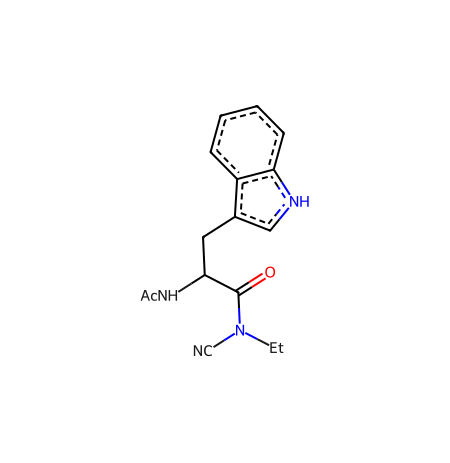 CCN(C#N)C(=O)C(Cc1c[nH]c2ccccc12)NC(C)=O